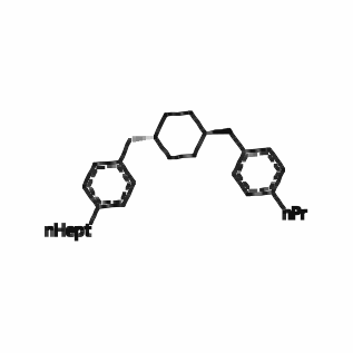 CCCCCCCc1ccc(C[C@H]2CC[C@H](Cc3ccc(CCC)cc3)CC2)cc1